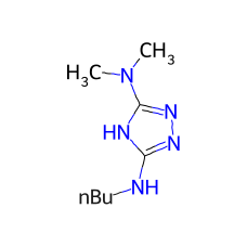 CCCCNc1nnc(N(C)C)[nH]1